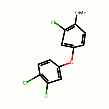 COc1ccc(Oc2ccc(Cl)c(Cl)c2)cc1Cl